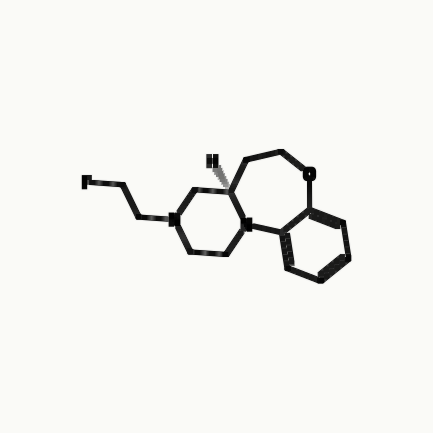 FCCN1CCN2c3ccccc3OCC[C@@H]2C1